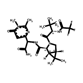 Cc1nc(C(NC(=O)[C@@H]2[C@@H]3[C@H](CN2C(=O)[C@@H](NC(=O)C(F)(F)F)C(C)(C)C)C3(C)C)C(N)=O)cc(=O)n1C